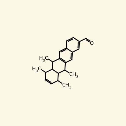 CC1C=CC(C)C2C(C)c3cc4cc(C=O)ccc4cc3C(C)C12